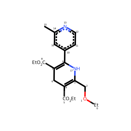 CCOCC1=C(C(=O)OCC)CC(C(=O)OCC)=C(c2ccnc(C)c2)N1